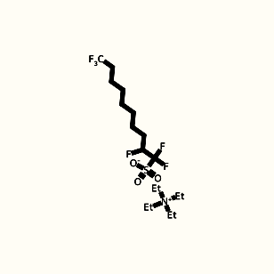 CC[N+](CC)(CC)CC.O=S(=O)([O-])C(F)(F)C(F)CCCCCCCC(F)(F)F